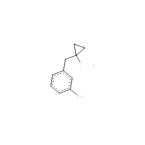 Nc1cccc(CC2(C(=O)O)CC2)c1